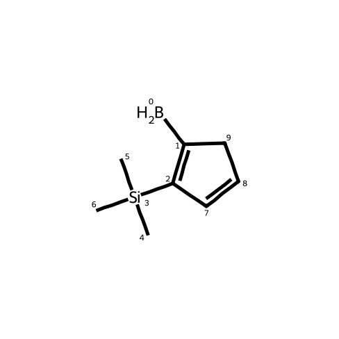 BC1=C([Si](C)(C)C)C=CC1